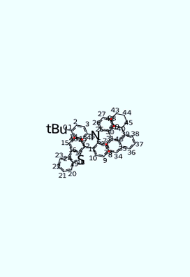 CC(C)(C)c1ccc(N(c2ccccc2-c2cccc3c2sc2ccccc23)c2ccccc2-c2cccc3cccc(C4CCCCC4)c23)cc1